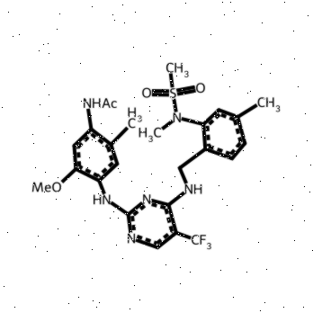 COc1cc(NC(C)=O)c(C)cc1Nc1ncc(C(F)(F)F)c(NCc2ccc(C)cc2N(C)S(C)(=O)=O)n1